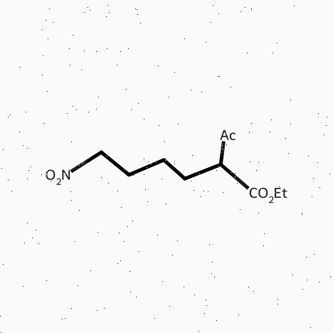 CCOC(=O)C(CCCC[N+](=O)[O-])C(C)=O